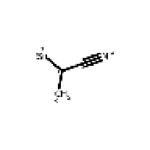 C[CH]([Sn])C#N